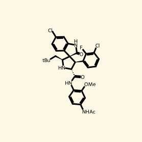 COc1cc(NC(C)=O)ccc1NC(=O)[C@@H]1N[C@@H](CC(C)(C)C)[C@@]2(C(=O)Nc3cc(Cl)ccc32)[C@H]1c1cccc(Cl)c1F